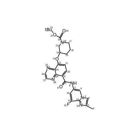 Cc1cn2cc(NC(=O)c3ccc(OC4CCCN(C(=O)OC(C)(C)C)C4)c4nccnc34)cc(F)c2n1